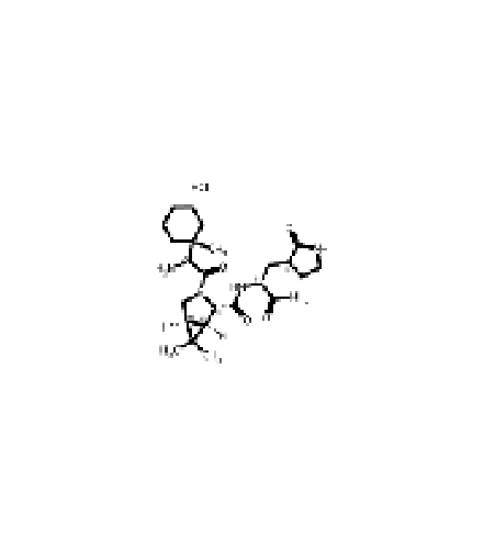 CC1([C@H](N)C(=O)N2C[C@H]3[C@@H]([C@H]2C(=O)N[C@@H](C[C@@H]2CCNC2=O)C(N)=O)C3(C)C)CCCCC1.Cl